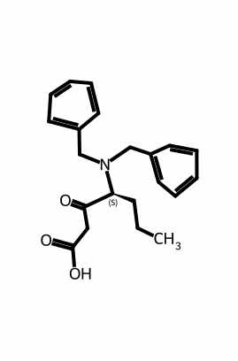 CCC[C@@H](C(=O)CC(=O)O)N(Cc1ccccc1)Cc1ccccc1